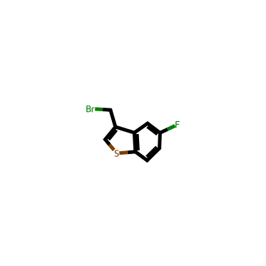 Fc1ccc2scc(CBr)c2c1